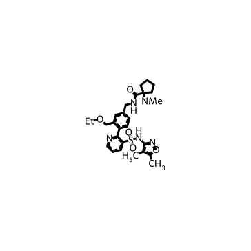 CCOCc1cc(CNC(=O)C2(NC)CCCC2)ccc1-c1ncccc1S(=O)(=O)Nc1noc(C)c1C